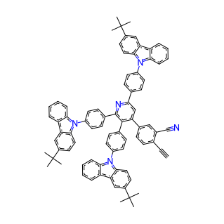 C#Cc1ccc(-c2cc(-c3ccc(-n4c5ccccc5c5cc(C(C)(C)C)ccc54)cc3)nc(-c3ccc(-n4c5ccccc5c5cc(C(C)(C)C)ccc54)cc3)c2-c2ccc(-n3c4ccccc4c4cc(C(C)(C)C)ccc43)cc2)cc1C#N